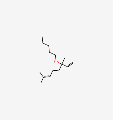 C=CC(C)(CCC=C(C)C)OCCCCC